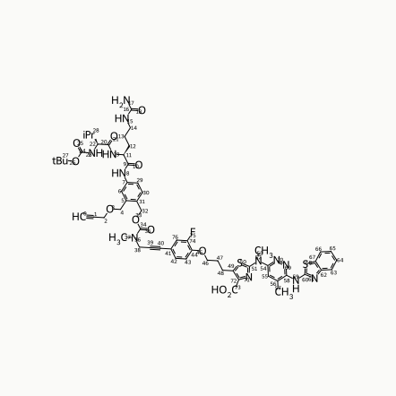 C#CCOCc1cc(NC(=O)[C@H](CCCNC(N)=O)NC(=O)[C@@H](NC(=O)OC(C)(C)C)C(C)C)ccc1COC(=O)N(C)CC#Cc1ccc(OCCCc2sc(N(C)c3cc(C)c(Nc4nc5ccccc5s4)nn3)nc2C(=O)O)c(F)c1